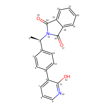 C[C@H](c1ccc(-c2cccnc2O)cc1)N1C(=O)c2ccccc2C1=O